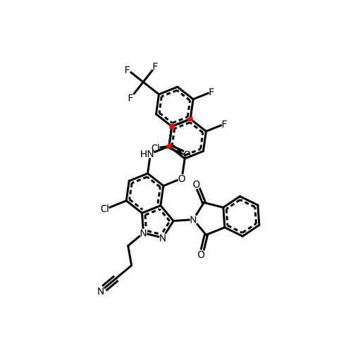 N#CCCn1nc(N2C(=O)c3ccccc3C2=O)c2c(Oc3cc(F)ccc3Cl)c(NC(=O)c3cc(F)cc(C(F)(F)F)c3)cc(Cl)c21